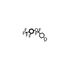 COC1CCC(C(F)(F)Oc2ccc(C(F)(F)F)c(F)c2)CC1